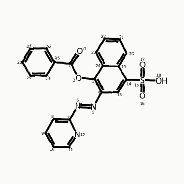 O=C(Oc1c(N=Nc2ccccn2)cc(S(=O)(=O)O)c2ccccc12)c1ccccc1